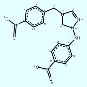 O=[N+]([O-])c1ccc(CN2C=NN(Nc3ccc([N+](=O)[O-])cc3)C2)cc1